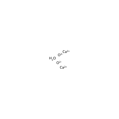 O.[Ca+2].[Ca+2].[O-2].[O-2]